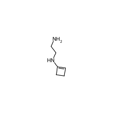 NCCNC1=CCC1